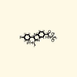 CC(C)N(C)c1nc2cc(C(=O)NS(C)(=O)=O)ccc2nc1-c1ccc(F)cc1